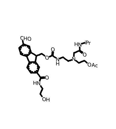 CC(=O)OCCN(CCNC(=O)OCC1c2cc(C=O)ccc2-c2ccc(C(=O)NCCO)cc21)CC(=O)NC(C)C